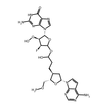 Nc1nc2c(ncn2[C@@H]2OC(OC(O)CC[C@H]3C[C@H](n4ccc5c(N)ncnc54)O[C@@H]3COP)[C@@H](F)[C@H]2OO)c(=O)[nH]1